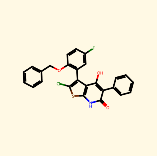 O=c1[nH]c2sc(Cl)c(-c3cc(F)ccc3OCc3ccccc3)c2c(O)c1-c1ccccc1